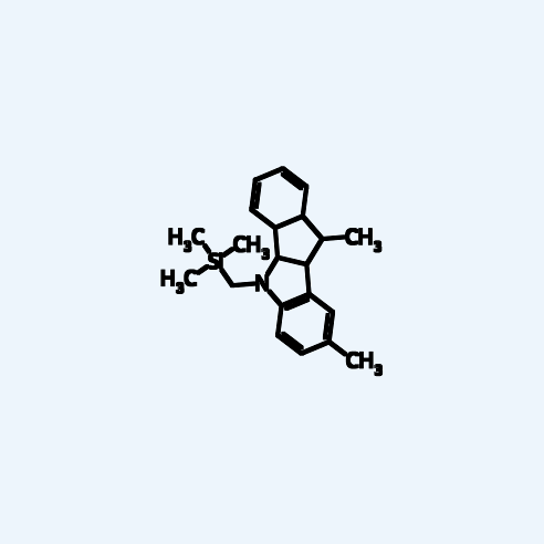 Cc1ccc2c(c1)C1C(C)C3C=CC=CC3C1N2C[Si](C)(C)C